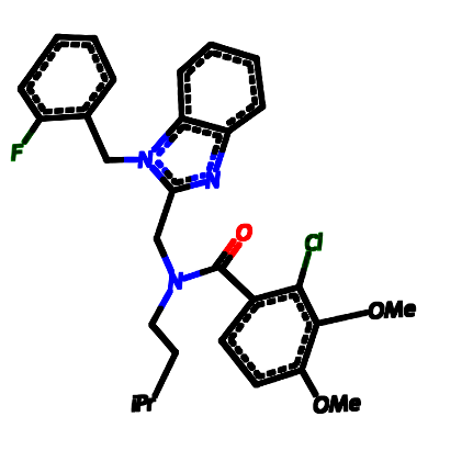 COc1ccc(C(=O)N(CCC(C)C)Cc2nc3ccccc3n2Cc2ccccc2F)c(Cl)c1OC